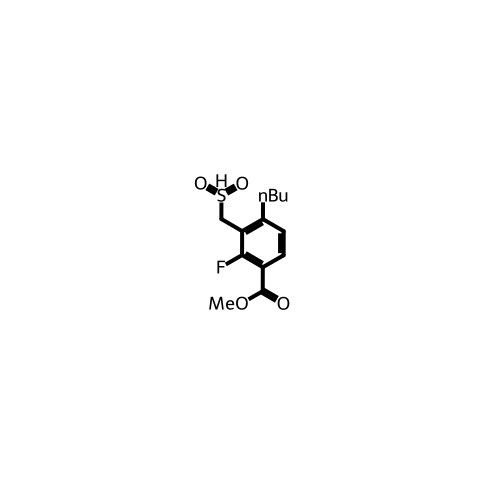 CCCCc1ccc(C(=O)OC)c(F)c1C[SH](=O)=O